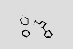 O=C(O[C@H]1CNCC[C@@H]1c1ccccc1)c1ccc(-c2ccccc2)s1